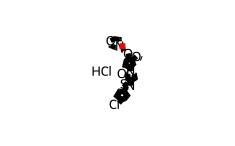 COc1cc(-n2ccc3nc(-c4ccc(Cl)cc4)sc3c2=O)ccc1OCCN1CCOCC1.Cl